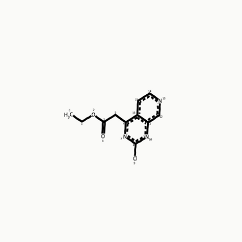 CCOC(=O)Cc1nc(Cl)nc2cnccc12